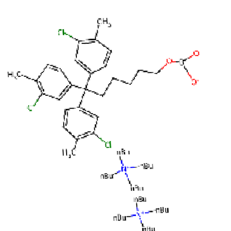 CCCC[N+](CCCC)(CCCC)CCCC.CCCC[N+](CCCC)(CCCC)CCCC.Cc1ccc(C(CCCCCOB([O-])[O-])(c2ccc(C)c(Cl)c2)c2ccc(C)c(Cl)c2)cc1Cl